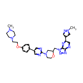 CN1CCN(CCOc2ccc(-c3cnc(N4CCOC(Cn5nnc6ncc(-c7cnn(C)c7)nc65)C4)nc3)cc2)CC1